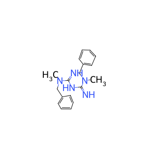 CN(Cc1ccccc1)C(=N)NC(=N)N(C)Cc1ccccc1